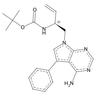 C=C[C@@H](Cn1cc(-c2ccccc2)c2c(N)ncnc21)NC(=O)OC(C)(C)C